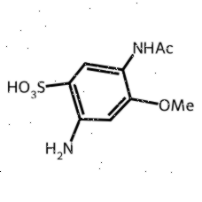 COc1cc(N)c(S(=O)(=O)O)cc1NC(C)=O